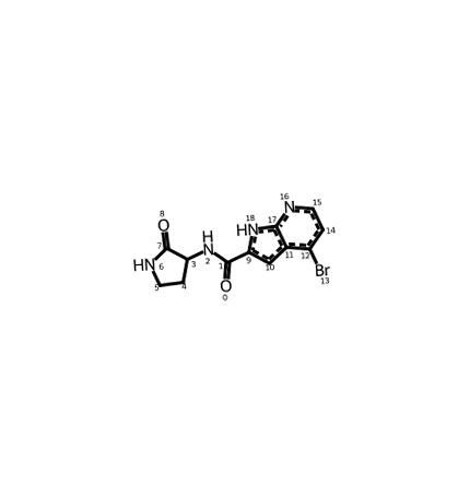 O=C(NC1CCNC1=O)c1cc2c(Br)ccnc2[nH]1